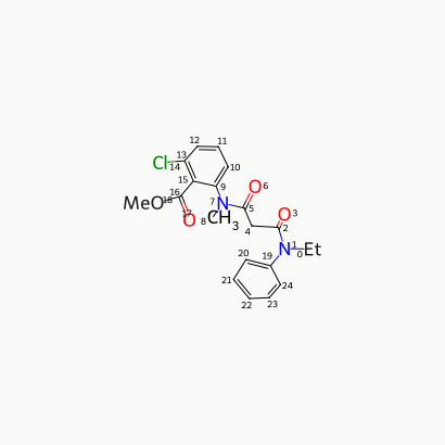 CCN(C(=O)CC(=O)N(C)c1cccc(Cl)c1C(=O)OC)c1ccccc1